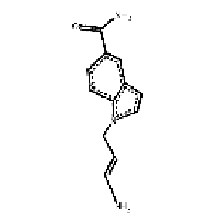 NC=CCn1ccc2cc(C(N)=O)ccc21